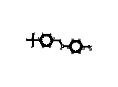 CC(C)(C)c1ccc(COc2[c]cc(Br)cc2)cc1